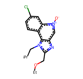 CCOCc1nc2c[n+]([O-])c3cc(Cl)ccc3c2n1CC(C)C